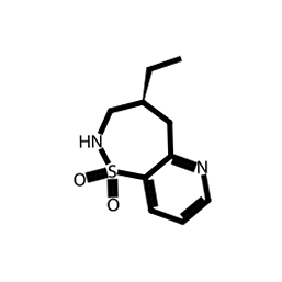 CC[C@@H]1CNS(=O)(=O)c2cccnc2C1